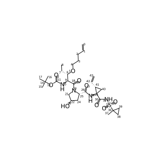 C=CCCCO[C@@H](CC)[C@H](NC(=O)OC(C)(C)C)C(=O)N1C[C@H](O)C[C@H]1C(=O)N[C@]1(C(=O)NS(=O)(=O)C2(C)CC2)C[C@H]1C=C